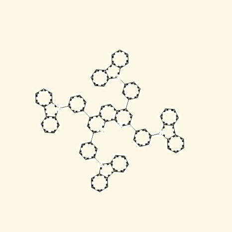 c1cc(-c2cc(-c3cccc(-n4c5ccccc5c5ccccc54)c3)c3ccc4c(-c5cccc(-n6c7ccccc7c7ccccc76)c5)cc(-c5cccc(-n6c7ccccc7c7ccccc76)c5)nc4c3n2)cc(-n2c3ccccc3c3ccccc32)c1